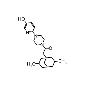 CC1CC2CC(C)CC(CC(=O)N3CCN(c4ccc(O)cn4)CC3)(C1)C2